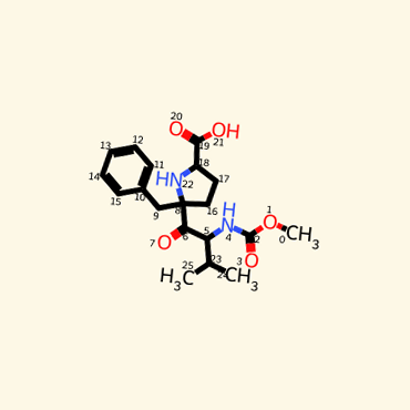 COC(=O)NC(C(=O)C1(Cc2ccccc2)CCC(C(=O)O)N1)C(C)C